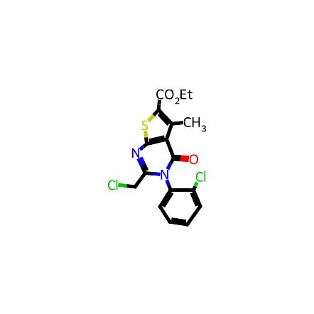 CCOC(=O)c1sc2nc(CCl)n(-c3ccccc3Cl)c(=O)c2c1C